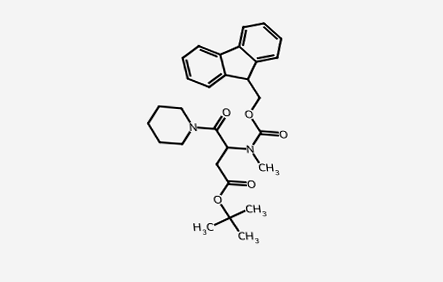 CN(C(=O)OCC1c2ccccc2-c2ccccc21)C(CC(=O)OC(C)(C)C)C(=O)N1CCCCC1